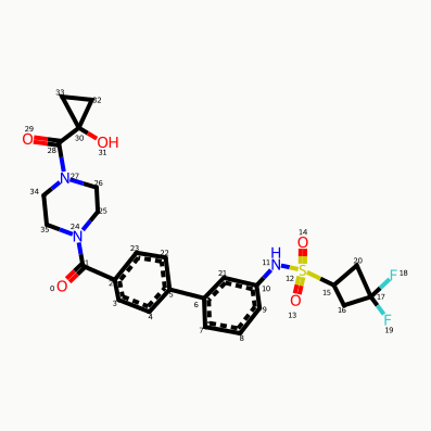 O=C(c1ccc(-c2cccc(NS(=O)(=O)C3CC(F)(F)C3)c2)cc1)N1CCN(C(=O)C2(O)CC2)CC1